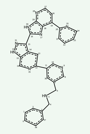 c1ccc(CNCc2cncc(-c3cc4c(-c5nc6c(-c7ccccn7)ccnc6[nH]5)n[nH]c4cn3)c2)cc1